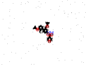 Cc1c(OC2CC2)cccc1-c1ccc(NOC(=O)C2CCOCC2)cc1COC1CC1